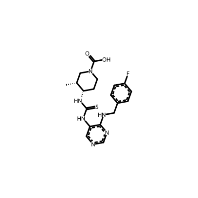 C[C@@H]1CN(C(=O)O)CC[C@@H]1NC(=S)Nc1cncnc1NCc1ccc(F)cc1